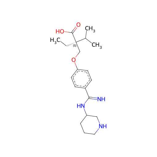 CC[C@](COc1ccc(C(=N)NC2CCCNC2)cc1)(C(=O)O)C(C)C